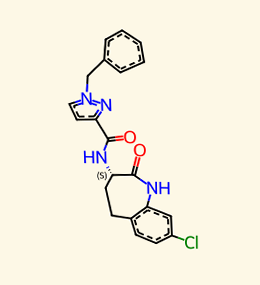 O=C(N[C@H]1CCc2ccc(Cl)cc2NC1=O)c1ccn(Cc2ccccc2)n1